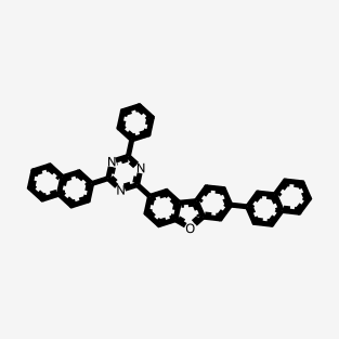 c1ccc(-c2nc(-c3ccc4ccccc4c3)nc(-c3ccc4oc5cc(-c6ccc7ccccc7c6)ccc5c4c3)n2)cc1